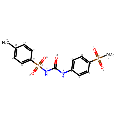 COS(=O)(=O)c1ccc(NC(=O)NS(=O)(=O)c2ccc(C)cc2)cc1